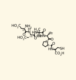 CC[C@H](C)[C@](C)(NC(=O)[C@H](CC(=O)O)NC(=O)[C@@H](N)CC(=O)O)C(=O)NC(C(=O)N1CCC[C@H]1C(=O)N[C@@H](CS)C(=O)O)C(C)C